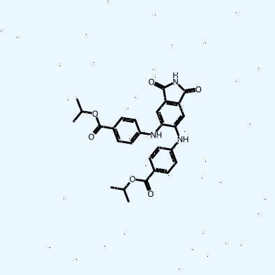 CC(C)OC(=O)c1ccc(Nc2cc3c(cc2Nc2ccc(C(=O)OC(C)C)cc2)C(=O)NC3=O)cc1